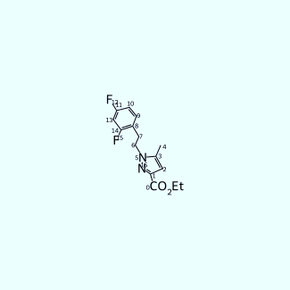 CCOC(=O)c1cc(C)n(CCc2ccc(F)cc2F)n1